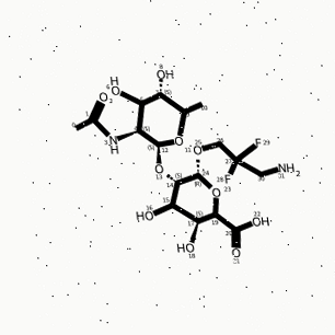 CC(=O)N[C@H]1C(O)[C@H](O)C(C)O[C@H]1O[C@H]1C(O)[C@H](O)C(C(=O)O)O[C@H]1OCC(F)(F)CN